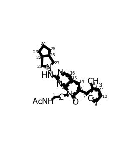 CC(=O)NCCn1c(=O)c(-c2ccccc2C)cc2cnc(NN3CC4CCCC4C3)nc21